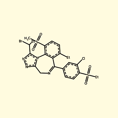 CCc1ccc(S(C)(=O)=O)c2c1C(c1ccc(S(=O)(=O)CC)c(Cl)c1)=NCc1nnc(C(Br)CC)n1-2